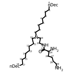 CCCCCCCCCCCCCCCCCCN(CCCCCCCCCCCCCCCCCC)CCNC(=O)[C@@H](N)CCCCN